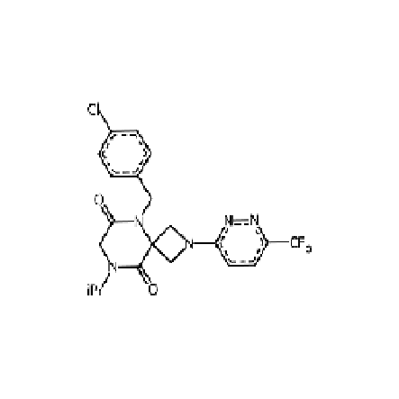 CC(C)N1CC(=O)N(Cc2ccc(Cl)cc2)C2(CN(c3ccc(C(F)(F)F)nn3)C2)C1=O